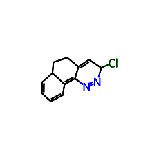 ClC1C=C2CCC3C=CC=CC3=C2N=N1